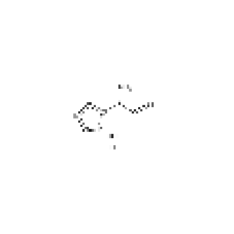 C=CC(N)n1cncn1.Cl.Cl